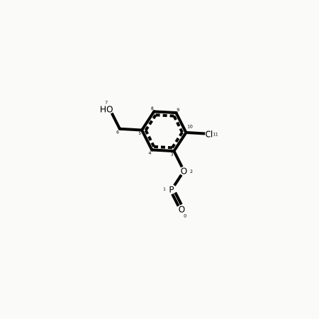 O=POc1cc(CO)ccc1Cl